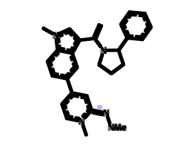 C=C(c1cn(C)c2ccc(-c3ccn(C)/c(=N\NC)c3)cc12)N1CCCC1c1ccccc1